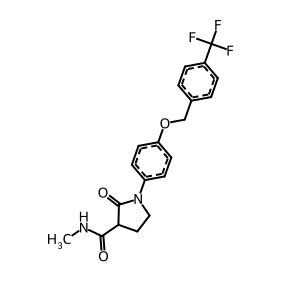 CNC(=O)C1CCN(c2ccc(OCc3ccc(C(F)(F)F)cc3)cc2)C1=O